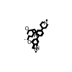 C[C@@H](Oc1cc(-c2ccc(C3CCN(C)CC3)cc2)cc2nn(C)cc12)[C@@H]1CC(=O)C2CC[C@@H]2C1